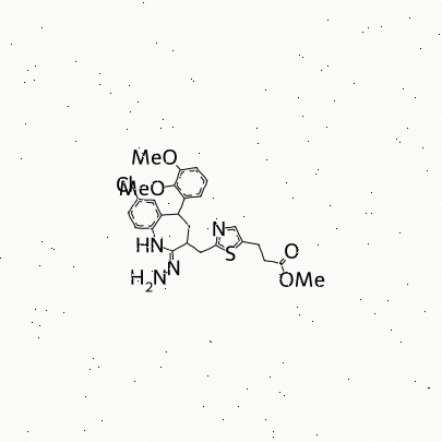 COC(=O)CCc1cnc(CC2CC(c3cccc(OC)c3OC)c3cc(Cl)ccc3N/C2=N\N)s1